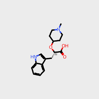 CN1CCC(O[C@@H](Cc2c[nH]c3ccccc23)C(=O)O)CC1